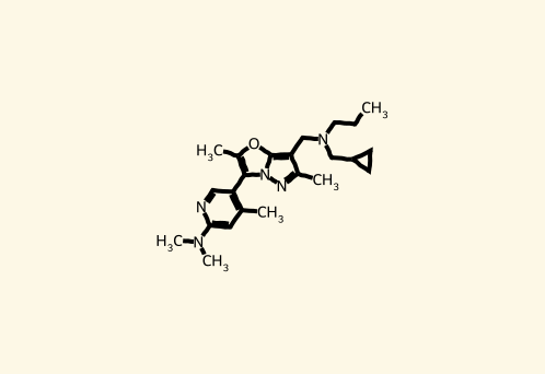 CCCN(Cc1c(C)nn2c(-c3cnc(N(C)C)cc3C)c(C)oc12)CC1CC1